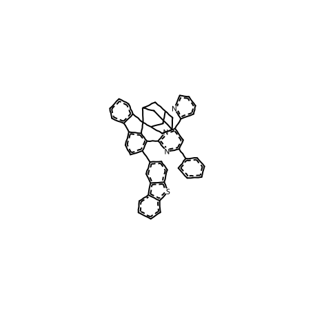 c1ccc(-c2cc(-c3ccccn3)nc(-c3c(-c4ccc5sc6ccccc6c5c4)ccc4c3C3(c5ccccc5-4)C4CC5CC(C4)CC3C5)n2)cc1